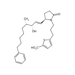 C[C@@H](CCCCCc1ccccc1)[C@@H](O)/C=C/[C@H]1CCC(=O)N1CCCc1ccc(C(=O)O)s1